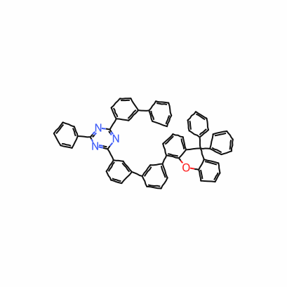 c1ccc(-c2cccc(-c3nc(-c4ccccc4)nc(-c4cccc(-c5cccc(-c6cccc7c6Oc6ccccc6C7(c6ccccc6)c6ccccc6)c5)c4)n3)c2)cc1